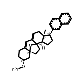 CCCO[C@@H]1CCC2=CC3=CC[C@]4(C)[C@@H](c5ccc6ccccc6c5)CC[C@H]4C34CC[C@]2(C1)O4